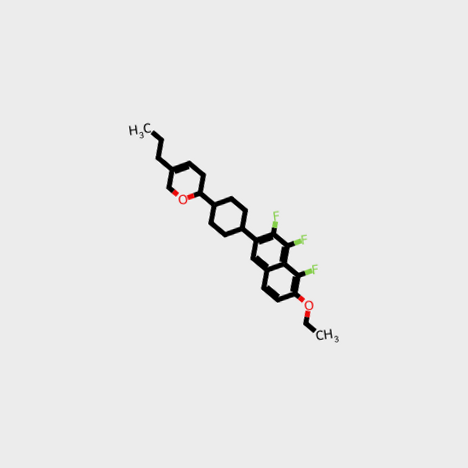 CCCC1=CCC(C2CCC(c3cc4ccc(OCC)c(F)c4c(F)c3F)CC2)OC1